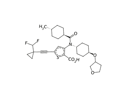 C[C@H]1CC[C@H](C(=O)N(c2cc(C#CC3(C(F)F)CC3)sc2C(=O)O)[C@H]2CC[C@H](OC3CCOC3)CC2)CC1